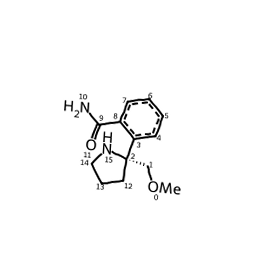 COC[C@]1(c2ccccc2C(N)=O)CCCN1